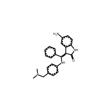 CN(C)Cc1ccc(N/C(=C2\C(=O)Nc3ccc(N)cc32)c2ccccc2)cc1